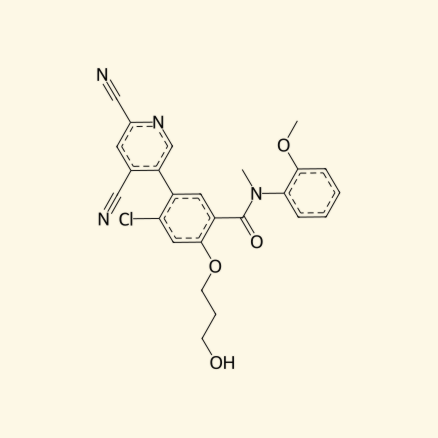 COc1ccccc1N(C)C(=O)c1cc(-c2cnc(C#N)cc2C#N)c(Cl)cc1OCCCO